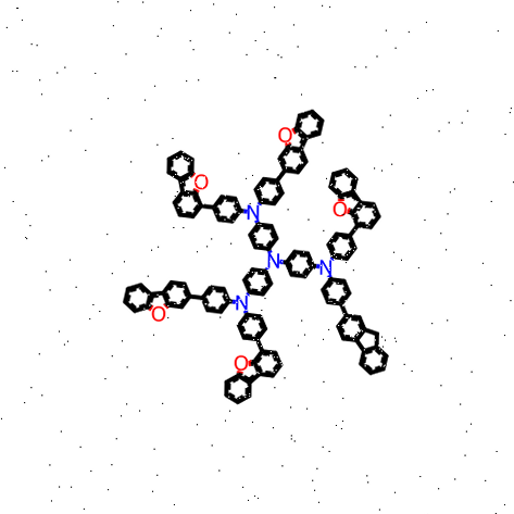 c1ccc2c(c1)Cc1cc(-c3ccc(N(c4ccc(-c5cccc6c5oc5ccccc56)cc4)c4ccc(N(c5ccc(N(c6ccc(-c7ccc8c(c7)oc7ccccc78)cc6)c6ccc(-c7cccc8c7oc7ccccc78)cc6)cc5)c5ccc(N(c6ccc(-c7ccc8c(c7)oc7ccccc78)cc6)c6ccc(-c7cccc8c7oc7ccccc78)cc6)cc5)cc4)cc3)ccc1-2